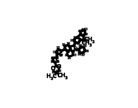 CC1(C)COC(c2ccc(-c3ccc(-c4ccc5c6c4CCCC6N(c4ccccc4)C5c4ccc5c(c4)C(C)(C)c4ccccc4-5)s3)s2)OC1